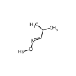 CC(C)/C=N/OS